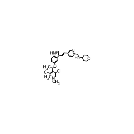 C=N/C=C(Cl)\C(=C(/C)Cl)[C@@H](C)Oc1ccc2[nH]nc(/C=C/c3ccc(CNC4CCOCC4)nc3)c2c1